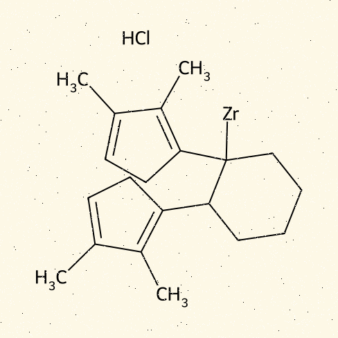 CC1=CCC(C2CCCC[C]2([Zr])C2=C(C)C(C)=CC2)=C1C.Cl